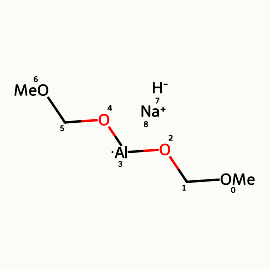 COC[O][Al][O]COC.[H-].[Na+]